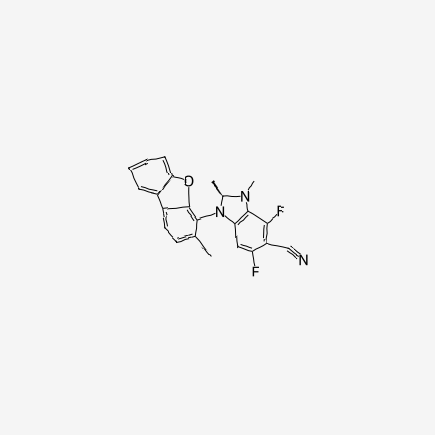 Cc1ccc2c(oc3ccccc32)c1N1c2cc(F)c(C#N)c(F)c2N(C)[C@@H]1C